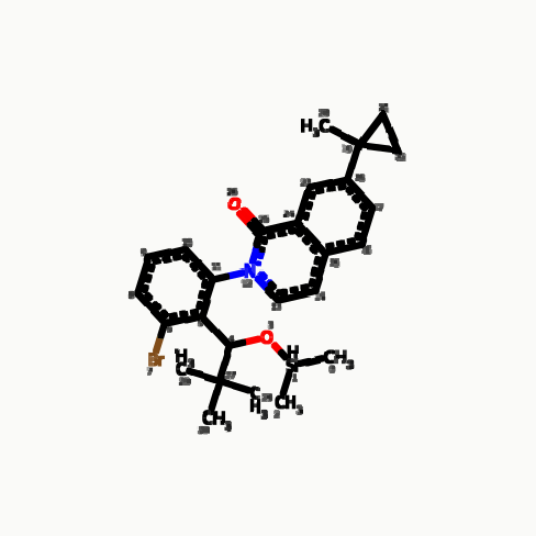 C[SiH](C)OC(c1c(Br)cccc1-n1ccc2ccc(C3(C)CC3)cc2c1=O)C(C)(C)C